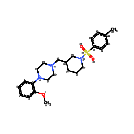 COc1ccccc1N1CCN(CC2CCCN(S(=O)(=O)c3ccc(C)cc3)C2)CC1